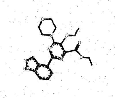 CCOC(=O)c1nc(-c2cccc3[nH]ncc23)nc(N2CCOCC2)c1OCC